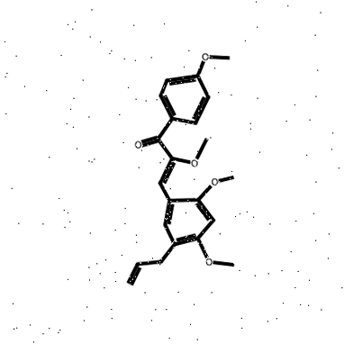 C=CCc1cc(C=C(OC)C(=O)c2ccc(OC)cc2)c(OC)cc1OC